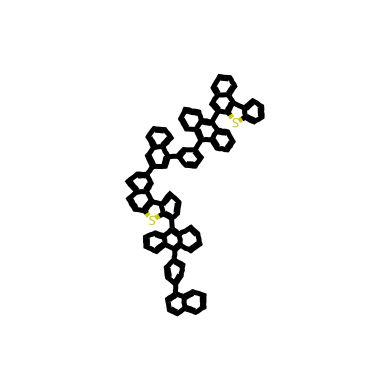 c1cc(-c2cc(-c3ccc4ccc5sc6c(-c7c8ccccc8c(-c8ccc(-c9cccc%10ccccc9%10)cc8)c8ccccc78)cccc6c5c4c3)cc3ccccc23)cc(-c2c3ccccc3c(-c3cc4ccccc4c4c3sc3ccccc34)c3ccccc23)c1